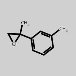 Cc1cccc(C2(C)CO2)c1